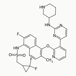 Cc1ccc2c(NS(=O)(=O)CC3CC3(F)F)c(F)ccc2c1Oc1ncccc1-c1ccnc(NC2CCCNC2)n1